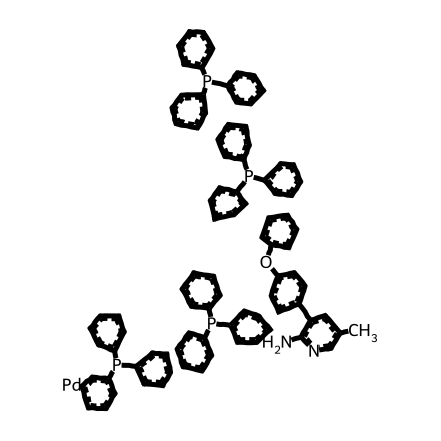 Cc1cnc(N)c(-c2ccc(Oc3ccccc3)cc2)c1.[Pd].c1ccc(P(c2ccccc2)c2ccccc2)cc1.c1ccc(P(c2ccccc2)c2ccccc2)cc1.c1ccc(P(c2ccccc2)c2ccccc2)cc1.c1ccc(P(c2ccccc2)c2ccccc2)cc1